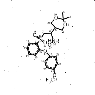 CC1(C)OCC(C(CS(=O)(=O)c2ccccc2Oc2ccc(OC(F)(F)F)cc2)NO)CO1